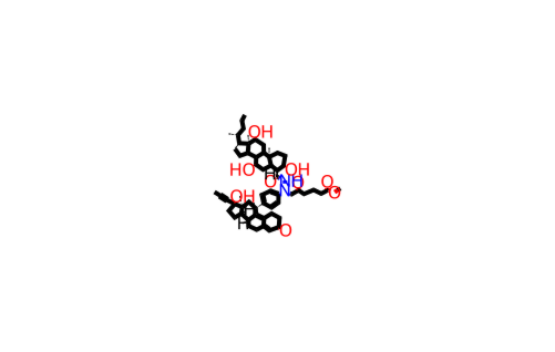 CC#C[C@]1(O)CC[C@H]2[C@@H]3CCC4=CC(=O)CCC4=C3[C@@H](c3ccc(N(CC(=O)CCCC(=O)OC)NC(=O)[C@@H]4[C@H](O)CC[C@]5(C)C6C[C@H](O)[C@@]7(C)C(CC[C@@H]7[C@H](C)CCC)C6[C@H](O)C[C@H]45)cc3)C[C@@]21C